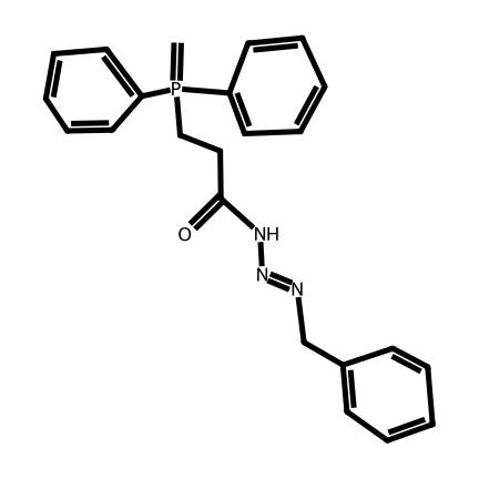 C=P(CCC(=O)N/N=N/Cc1ccccc1)(c1ccccc1)c1ccccc1